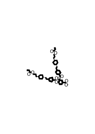 C=CC(=O)OCCC[C@H]1CC[C@H](CCc2ccc(C(=O)Oc3ccc(C(=O)OC)cc3OC(=O)c3ccc(CC[C@H]4CC[C@H](CCCOC(=O)C=C)CC4)cc3)cc2)CC1